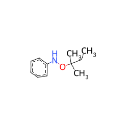 CCC(C)(C)ONc1ccccc1